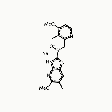 COc1ccnc(C[S+]([O-])c2nc3cc(C)c(OC)nc3[nH]2)c1C.[Na]